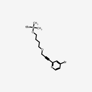 CC(C)(C)[Si](C)(C)OCCCCOCC#Cc1cc(Br)ccn1